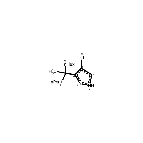 CCCCCCC(C)(CCCCC)c1n[nH]cc1Cl